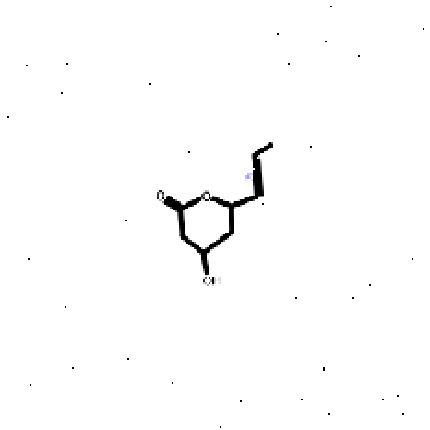 C/C=C/C1CC(O)CC(=O)O1